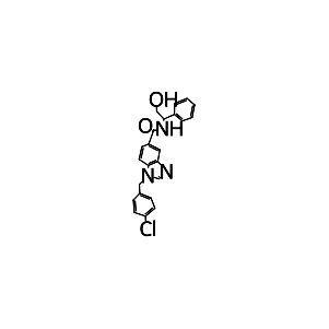 O=C(NC(CO)c1ccccc1)c1ccc2c(c1)ncn2Cc1ccc(Cl)cc1